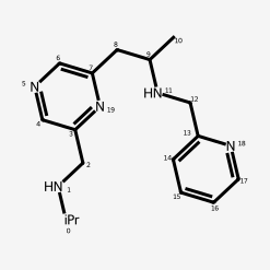 CC(C)NCc1cncc(CC(C)NCc2ccccn2)n1